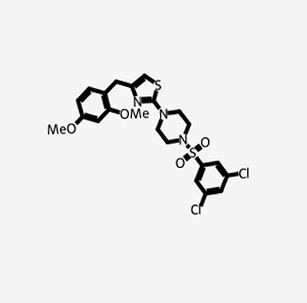 COc1ccc(Cc2csc(N3CCN(S(=O)(=O)c4cc(Cl)cc(Cl)c4)CC3)n2)c(OC)c1